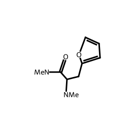 CNC(=O)C(Cc1ccco1)NC